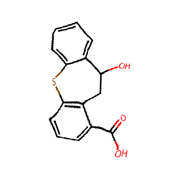 O=C(O)c1cccc2c1CC(O)c1ccccc1S2